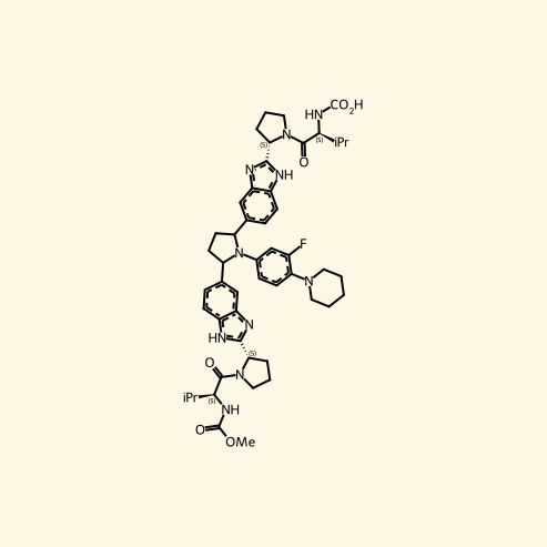 COC(=O)N[C@H](C(=O)N1CCC[C@H]1c1nc2cc(C3CCC(c4ccc5[nH]c([C@@H]6CCCN6C(=O)[C@@H](NC(=O)O)C(C)C)nc5c4)N3c3ccc(N4CCCCC4)c(F)c3)ccc2[nH]1)C(C)C